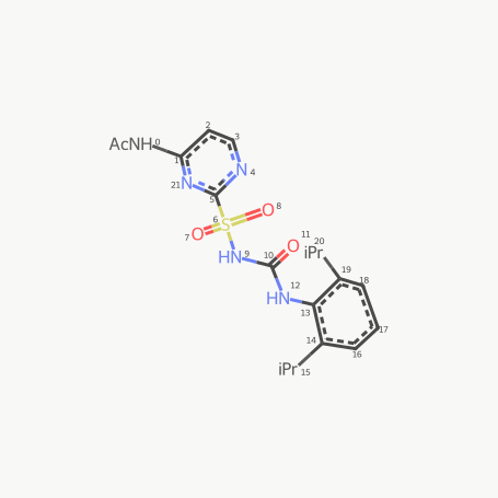 CC(=O)Nc1ccnc(S(=O)(=O)NC(=O)Nc2c(C(C)C)cccc2C(C)C)n1